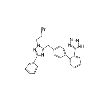 CC(C)CCn1nc(-c2ccccc2)nc1Cc1ccc(-c2ccccc2-c2nnn[nH]2)cc1